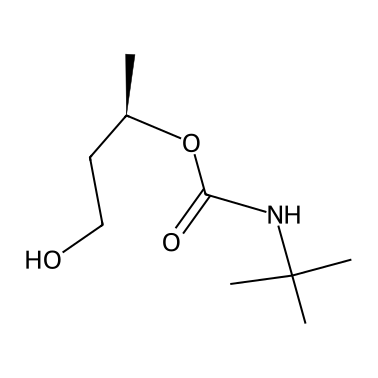 C[C@H](CCO)OC(=O)NC(C)(C)C